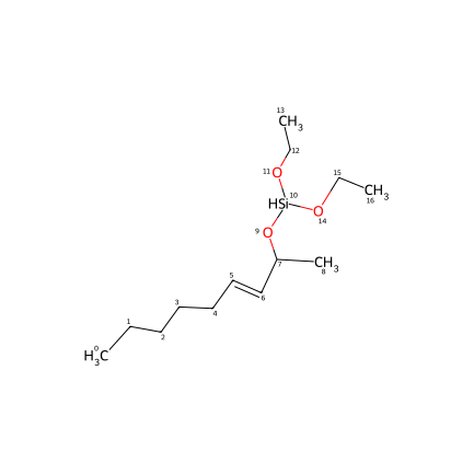 CCCCCC=CC(C)O[SiH](OCC)OCC